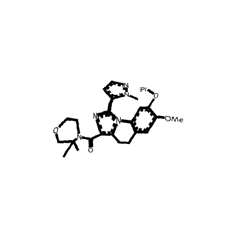 COc1cc2c(cc1OC(C)C)-n1c(-c3ccnn3C)nc(C(=O)N3CCOCC3(C)C)c1CC2